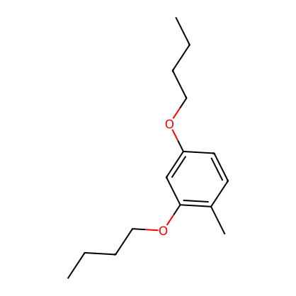 CCCCOc1ccc(C)c(OCCCC)c1